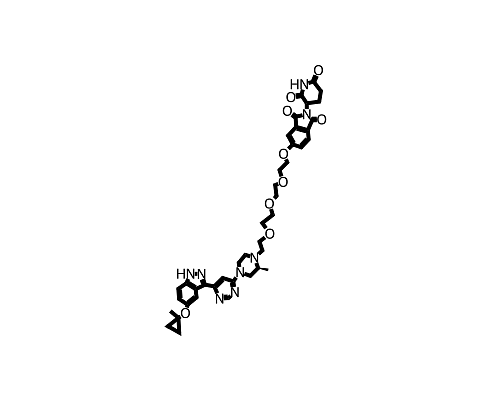 C[C@H]1CN(c2cc(-c3n[nH]c4ccc(OC5(C)CC5)cc34)ncn2)CCN1CCOCCOCCOCCOc1ccc2c(c1)C(=O)N(C1CCC(=O)NC1=O)C2=O